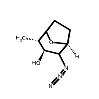 C[C@@H]1C2CC[C@H](O2)C(N=[N+]=[N-])[C@H]1O